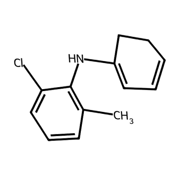 Cc1cccc(Cl)c1NC1=CC=CCC1